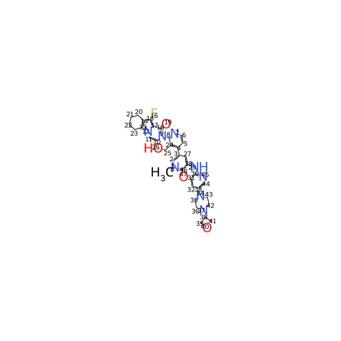 Cn1cc(-c2ccnc(-n3ccn4c5c(c(F)c4c3=O)CCCC5)c2CO)cc(Nc2ccc(N3CCN(C4COC4)CC3)cn2)c1=O